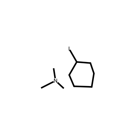 CN(C)C.IC1CCCCC1